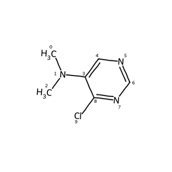 CN(C)c1cncnc1Cl